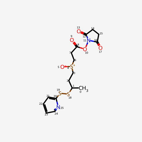 CC(CC[S+]([O-])CCC(=O)ON1C(=O)CCC1=O)SSc1ccccn1